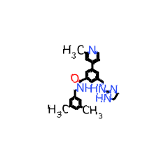 Cc1cc(C)cc(CNC(=O)c2cc(CNC3=NCCN3)cc(-c3ccnc(C)c3)c2)c1